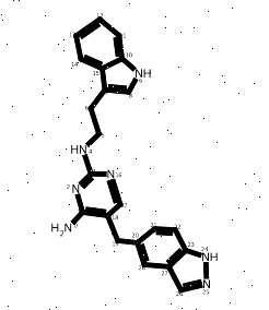 Nc1nc(NCCc2c[nH]c3ccccc23)ncc1Cc1ccc2[nH]ncc2c1